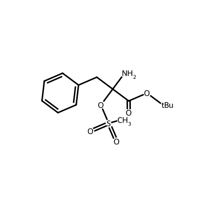 CC(C)(C)OC(=O)C(N)(Cc1ccccc1)OS(C)(=O)=O